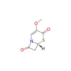 COC1=CN2C(=O)C[C@H]2SC1=O